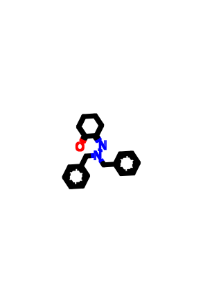 O=C1CCCC/C1=N/N(Cc1ccccc1)Cc1ccccc1